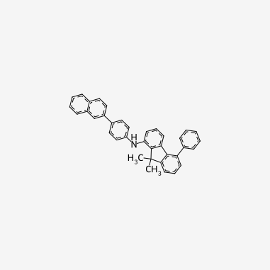 CC1(C)c2cccc(-c3ccccc3)c2-c2cccc(Nc3ccc(-c4ccc5ccccc5c4)cc3)c21